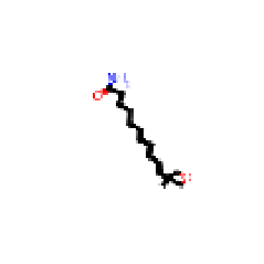 CC1(CCCCCCCCCCC(N)=O)COC1